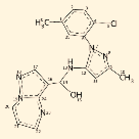 Cc1ccc(Cl)c(-n2nc(C)cc2NC(O)c2cnn3cccnc23)c1